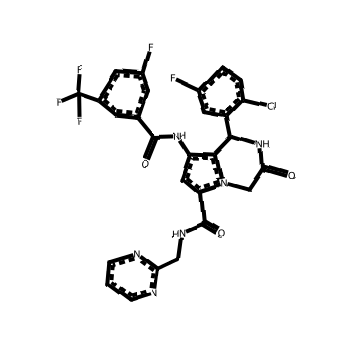 O=C1Cn2c(C(=O)NCc3ncccn3)cc(NC(=O)c3cc(F)cc(C(F)(F)F)c3)c2C(c2cc(F)ccc2Cl)N1